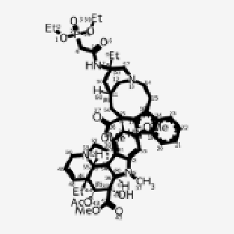 CCOP(=O)(CC(=O)N[C@@]1(CC)C[C@@H]2CN(CCc3c([nH]c4ccccc34)[C@@](C(=O)OC)(C3C=C4C(=CC3OC)N(C)[C@H]3[C@@](O)(C(=O)OC)[C@H](OC(C)=O)[C@]5(CC)C=CCN6CC[C@]43[C@@H]65)C2)C1)OCC